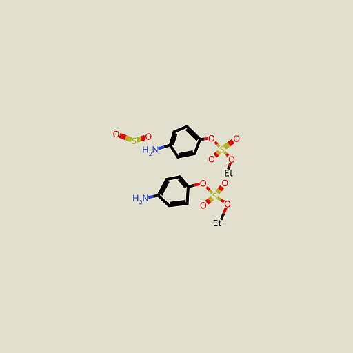 CCOS(=O)(=O)Oc1ccc(N)cc1.CCOS(=O)(=O)Oc1ccc(N)cc1.O=S=O